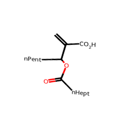 C=C(C(=O)O)C(CCCCC)OC(=O)CCCCCCC